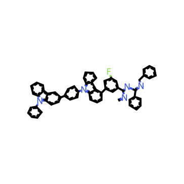 C=N/C(=N\C(=N/Cc1ccccc1)c1ccccc1)c1cc(F)cc(-c2cccc3c2c2ccccc2n3-c2ccc(-c3ccc4c(c3)c3ccccc3n4-c3ccccc3)cc2)c1